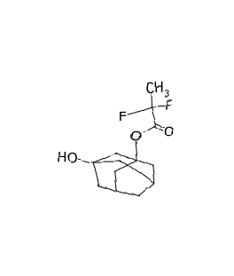 CC(F)(F)C(=O)OC12CC3CC(CC(O)(C3)C1)C2